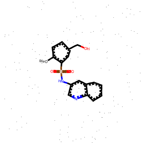 COc1ccc(CO)cc1S(=O)(=O)Nc1cnc2ccccc2c1